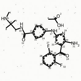 CC(=O)O.CNC(C)(C)CNC(=O)c1ccc(Nc2nc(N)c(C(=O)c3c(F)cccc3F)s2)cc1